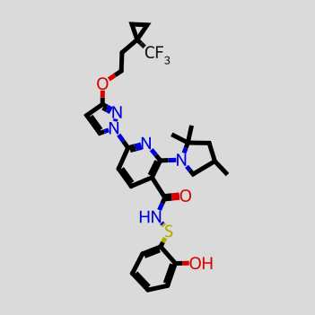 CC1CN(c2nc(-n3ccc(OCCC4(C(F)(F)F)CC4)n3)ccc2C(=O)NSc2ccccc2O)C(C)(C)C1